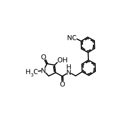 CN1CC(C(=O)NCc2cccc(-c3cccc(C#N)c3)c2)=C(O)C1=O